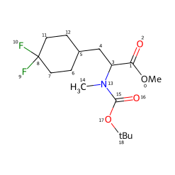 COC(=O)C(CC1CCC(F)(F)CC1)N(C)C(=O)OC(C)(C)C